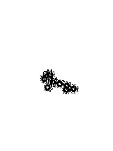 c1ccc(-c2nc(-c3ccc(-c4ccc5c6c(cccc46)-c4ccccc4-5)cc3)nc(-c3ccnc4oc5ccccc5c34)n2)cc1